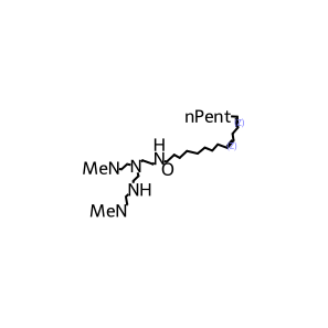 CCCCC/C=C\C/C=C\CCCCCCCC(=O)NCCN(CCNC)CCNCCNC